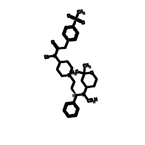 CCN(C(=O)Cc1ccc(S(C)(=O)=O)cc1)C1CCN(CC[C@@H](c2ccccc2)N(C(=O)O)C2CCOC(C)(C)C2)CC1